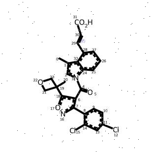 Cc1cn(C(=O)c2c(-c3ccc(Cl)cc3Cl)noc2C2(C)COC2)c2cccc(/C=C/C(=O)O)c12